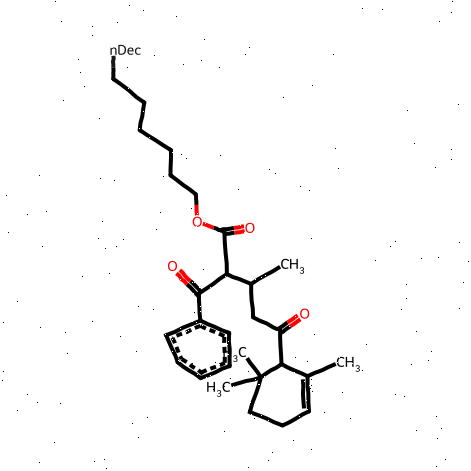 CCCCCCCCCCCCCCCCOC(=O)C(C(=O)c1ccccc1)C(C)CC(=O)C1C(C)=CCCC1(C)C